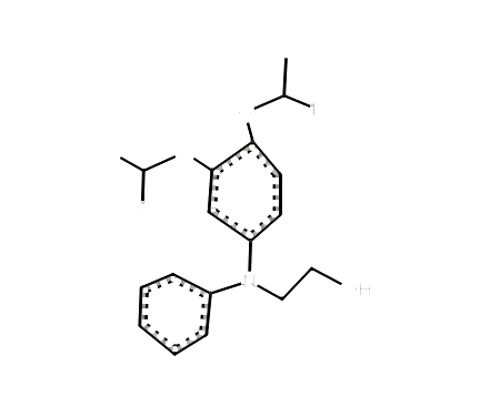 OCCN(c1ccccc1)c1ccc(OC(F)F)c(OC(F)F)c1